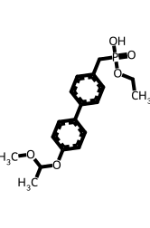 CCOP(=O)(O)Cc1ccc(-c2ccc(OC(C)OC)cc2)cc1